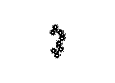 c1cc(-n2c3ccccc3c3ccccc32)c2sc3ccc(-c4ccc5sc6ccc(-n7c8ccccc8c8ccccc87)cc6c5c4)cc3c2c1